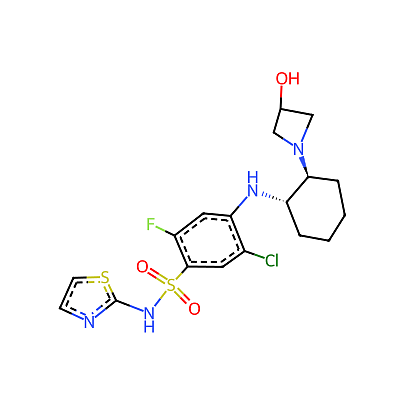 O=S(=O)(Nc1nccs1)c1cc(Cl)c(N[C@H]2CCCC[C@@H]2N2CC(O)C2)cc1F